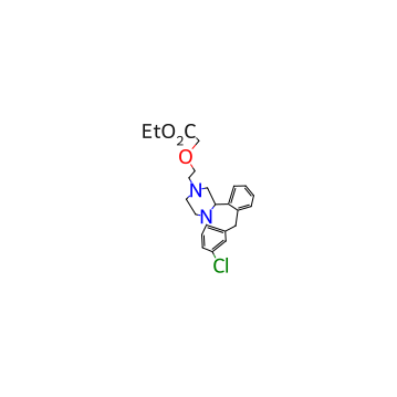 CCOC(=O)COCCN1CCN2c3ccc(Cl)cc3Cc3ccccc3C2C1